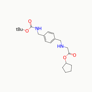 CC(C)(C)OC(=O)NCc1ccc(CNCC(=O)OC2CCCC2)cc1